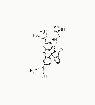 CCN(CC)c1ccc2c(c1)Oc1cc(N(CC)CC)ccc1C21c2ccccc2C(=O)N1CCNCc1ccc[nH]1